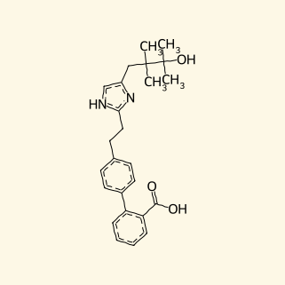 CC(C)(O)C(C)(C)Cc1c[nH]c(CCc2ccc(-c3ccccc3C(=O)O)cc2)n1